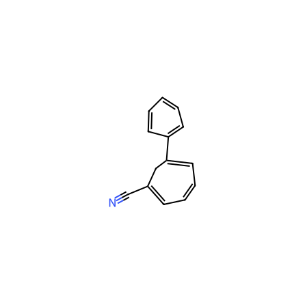 N#CC1=CC=CC=C(c2ccccc2)C1